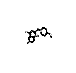 COC1CCN(Cc2nc(=O)c3cc(C)ccc3[nH]2)CC1